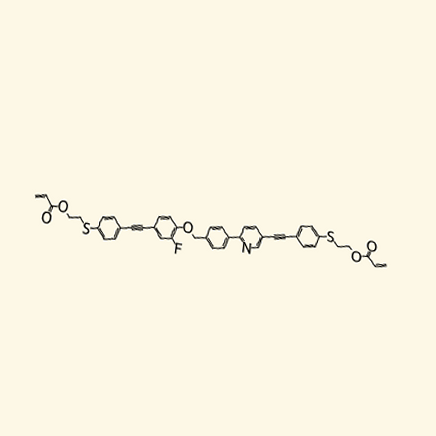 C=CC(=O)OCCSc1ccc(C#Cc2ccc(-c3ccc(COc4ccc(C#Cc5ccc(SCCOC(=O)C=C)cc5)cc4F)cc3)nc2)cc1